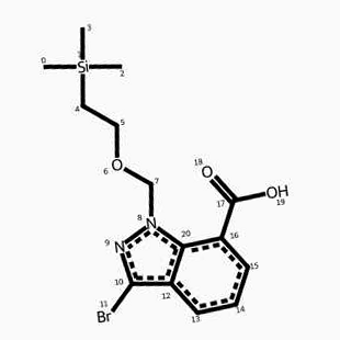 C[Si](C)(C)CCOCn1nc(Br)c2cccc(C(=O)O)c21